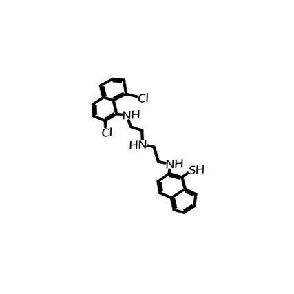 Sc1c(NCCNCCNc2c(Cl)ccc3cccc(Cl)c23)ccc2ccccc12